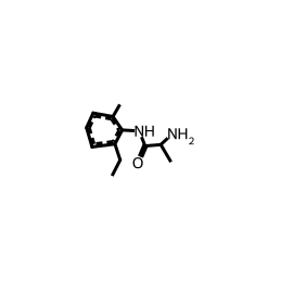 CCc1cccc(C)c1NC(=O)C(C)N